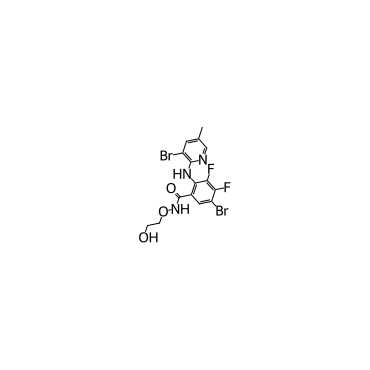 Cc1cnc(Nc2c(C(=O)NOCCO)cc(Br)c(F)c2F)c(Br)c1